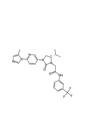 Cc1cncn1-c1ccc(N2C[C@H](C(C)C)N(CC(=O)Nc3cccc(C(F)(F)F)c3)C2=O)cn1